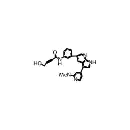 CNc1cc(-c2c[nH]c3ncc(-c4cccc(NC(=O)C#CCO)c4)cc23)ccn1